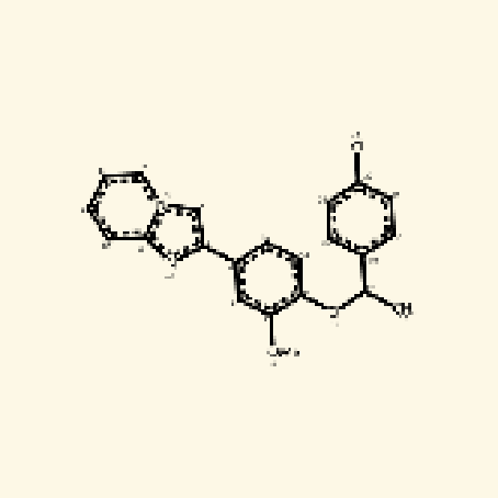 COc1cc(-c2cn3ccccc3n2)ccc1OC(C)c1ccc(Cl)cc1